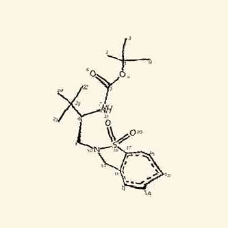 CC(C)(C)OC(=O)N[C@@H](CN1Cc2ccccc2S1(=O)=O)C(C)(C)C